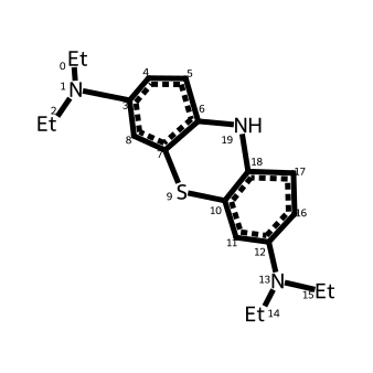 CCN(CC)c1ccc2c(c1)Sc1cc(N(CC)CC)ccc1N2